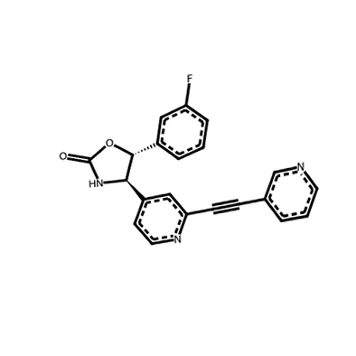 O=C1N[C@H](c2ccnc(C#Cc3cccnc3)c2)[C@@H](c2cccc(F)c2)O1